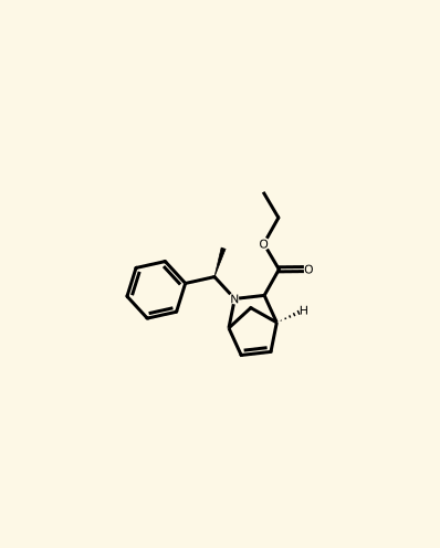 CCOC(=O)C1[C@H]2C=CC(C2)N1[C@H](C)c1ccccc1